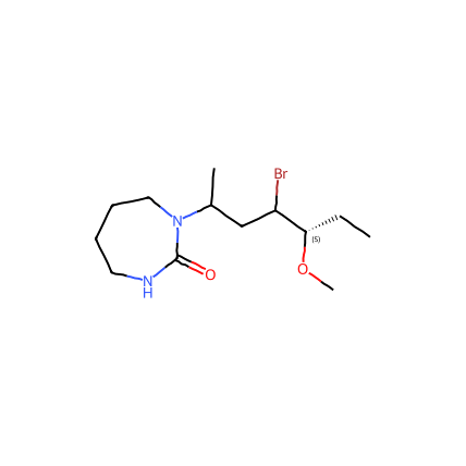 CC[C@H](OC)C(Br)CC(C)N1CCCCNC1=O